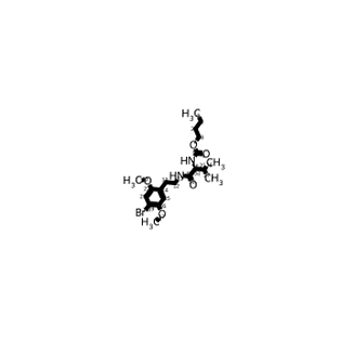 CCCCOC(=O)N[C@H](C(=O)NCCc1cc(OC)c(Br)cc1OC)C(C)C